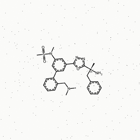 CN(C)Cc1ccccc1-c1cc(-c2nnc([C@](C)(N)Cc3ccccc3)o2)cc(N(C)S(C)(=O)=O)c1